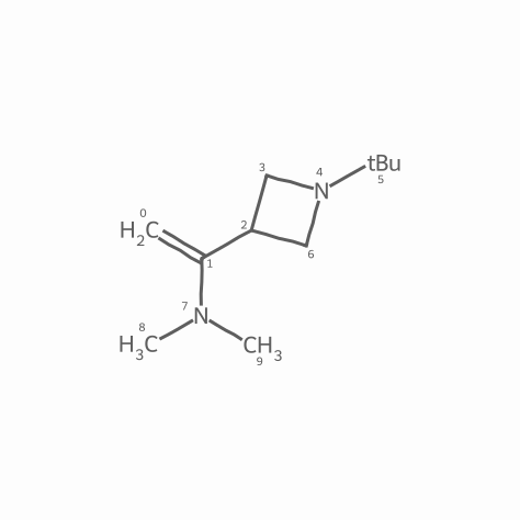 C=C(C1CN(C(C)(C)C)C1)N(C)C